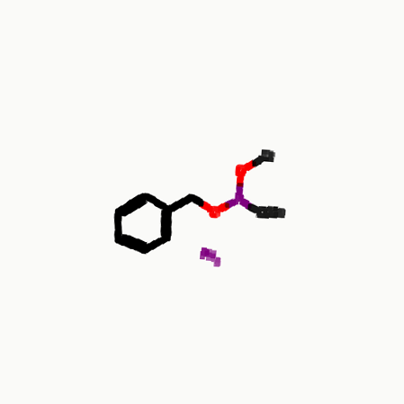 CCOP(OC)OCc1ccccc1.P